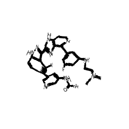 CCCC(=O)Nc1cncc(-c2ccc3[nH]nc(-c4nc5c(-c6cc(F)cc(NCCN(C)C)c6)nccc5[nH]4)c3c2F)c1